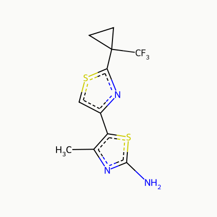 Cc1nc(N)sc1-c1csc(C2(C(F)(F)F)CC2)n1